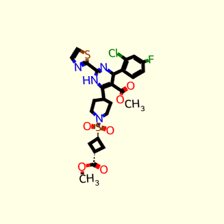 COC(=O)C1=C(C2CCN(S(=O)(=O)[C@H]3C[C@@H](C(=O)OC)C3)CC2)NC(c2nccs2)=NC1c1ccc(F)cc1Cl